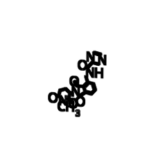 CN1C(=O)CCC(N2C(=O)c3cccc(CNC(=O)c4cnccn4)c3C2=O)C1=O